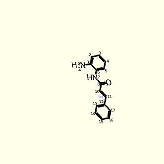 Nc1ccccc1NC(=O)/C=C/c1ccccc1